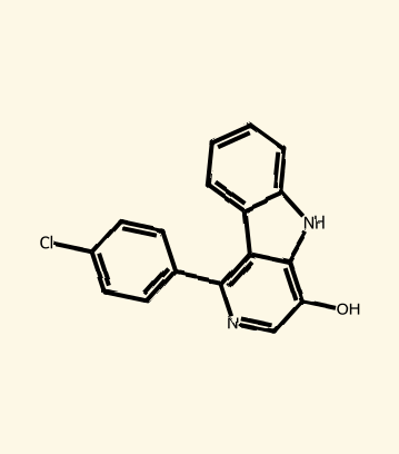 Oc1cnc(-c2ccc(Cl)cc2)c2c1[nH]c1ccccc12